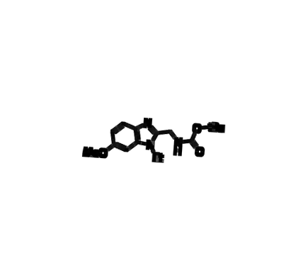 CCn1c(CNC(=O)OC(C)(C)C)nc2ccc(OC)cc21